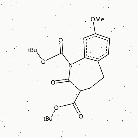 COc1ccc2c(c1)N(C(=O)OC(C)(C)C)C(=O)C(C(=O)OC(C)(C)C)CC2